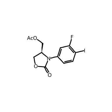 CC(=O)OC[C@@H]1COC(=O)N1c1ccc(I)c(F)c1